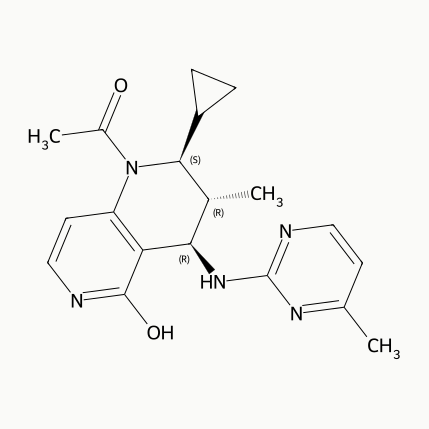 CC(=O)N1c2ccnc(O)c2[C@H](Nc2nccc(C)n2)[C@@H](C)[C@@H]1C1CC1